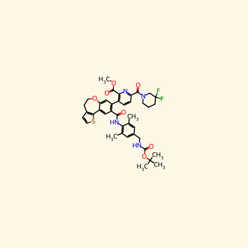 COC(=O)c1nc(C(=O)N2CCCC(F)(F)C2)ccc1-c1cc2c(cc1C(=O)Nc1c(C)cc(CNC(=O)OC(C)(C)C)cc1C)-c1sccc1CCO2